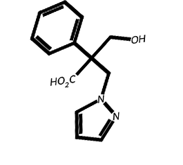 O=C(O)C(CO)(Cn1cccn1)c1ccccc1